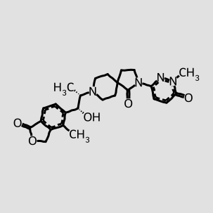 Cc1c([C@@H](O)[C@H](C)N2CCC3(CCN(c4ccc(=O)n(C)n4)C3=O)CC2)ccc2c1COC2=O